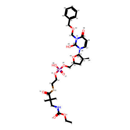 CCOC(=O)NCC(C)(C)C(=O)SCCOP(=O)(O)OC[C@@H]1C[C@H](C)[C@H](N2C=CC(=O)N(COCc3ccccc3)C2O)O1